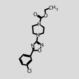 CCOC(=O)N1CCN(c2noc(-c3cccc(Cl)c3)n2)CC1